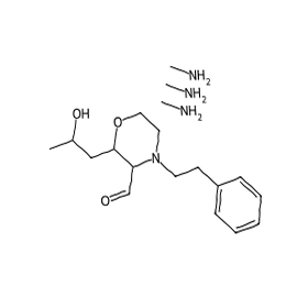 CC(O)CC1OCCN(CCc2ccccc2)C1C=O.CN.CN.CN